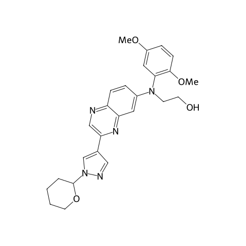 COc1ccc(OC)c(N(CCO)c2ccc3ncc(-c4cnn(C5CCCCO5)c4)nc3c2)c1